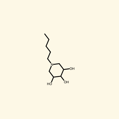 CCCCCN1CC(O)C(O)C(O)C1